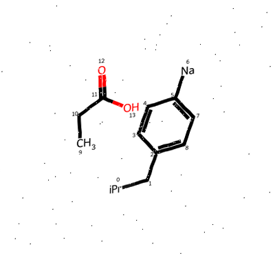 CC(C)Cc1cc[c]([Na])cc1.CCC(=O)O